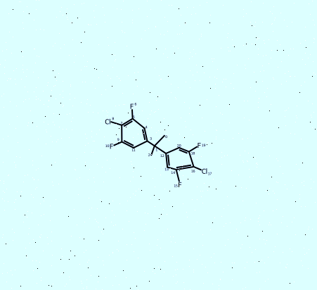 CC(C)(c1cc(F)c(Cl)c(F)c1)c1cc(F)c(Cl)c(F)c1